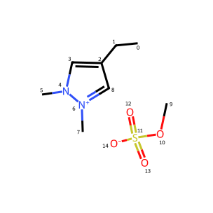 CCc1cn(C)[n+](C)c1.COS(=O)(=O)[O-]